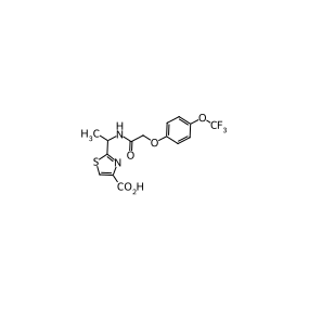 CC(NC(=O)COc1ccc(OC(F)(F)F)cc1)c1nc(C(=O)O)cs1